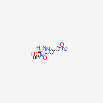 CCCN(C[C@@H](C)O)C(=O)C1=Cc2ccc(-c3ccc(C(=O)N4CCCC4)cc3)cc2N=C(N)C1